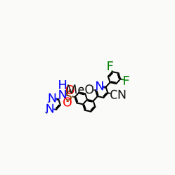 C=N/C=C\C(=N/C)NS(=O)(=O)c1ccc2c(-c3cc(C#N)c(-c4cc(F)cc(F)c4)nc3OC)cccc2c1